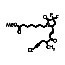 CCC#CCC(C)C(=O)C=CC1CC(F)(F)C(=O)N1CCCCCCC(=O)OC